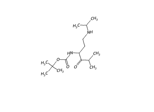 CC(C)NCCC(NC(=O)OC(C)(C)C)C(=O)C(C)C